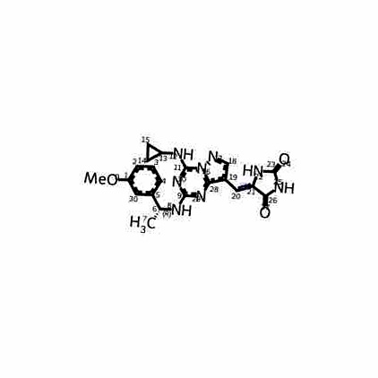 COc1cccc([C@@H](C)Nc2nc(NC3CC3)n3ncc(/C=C4\NC(=O)NC4=O)c3n2)c1